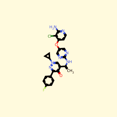 C=C(Nc1ncc(Oc2ccnc(N)c2Cl)cn1)c1cn(C2CC2)nc(-c2ccc(F)cc2)c1=O